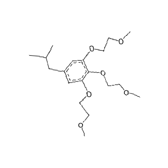 COCCOc1cc(CC(C)C)cc(OCCOC)c1OCCOC